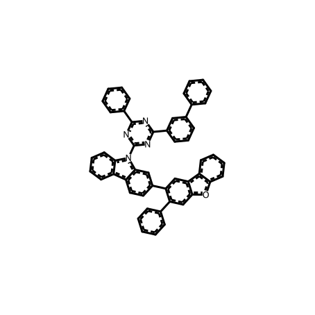 c1ccc(-c2cccc(-c3nc(-c4ccccc4)nc(-n4c5ccccc5c5ccc(-c6cc7c(cc6-c6ccccc6)oc6ccccc67)cc54)n3)c2)cc1